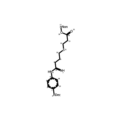 CCCCCCCCCCc1ccc(NC(=N)CCCSCCC(=O)OCCCCCCCCC)cc1